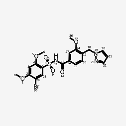 COc1cc(OC)c(S(=O)(=O)NC(=O)c2ccc(Cn3cccn3)c(OC)c2)cc1Br